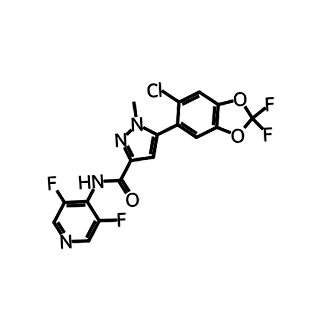 Cn1nc(C(=O)Nc2c(F)cncc2F)cc1-c1cc2c(cc1Cl)OC(F)(F)O2